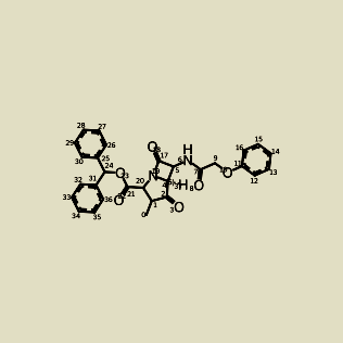 CC1C(=O)[C@@H]2C(NC(=O)COc3ccccc3)C(=O)N2C1C(=O)OC(c1ccccc1)c1ccccc1